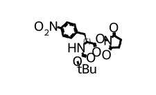 CC(C)(C)OC(=O)N[C@@H](Cc1ccc([N+](=O)[O-])cc1)C(=O)ON1C(=O)CCC1=O